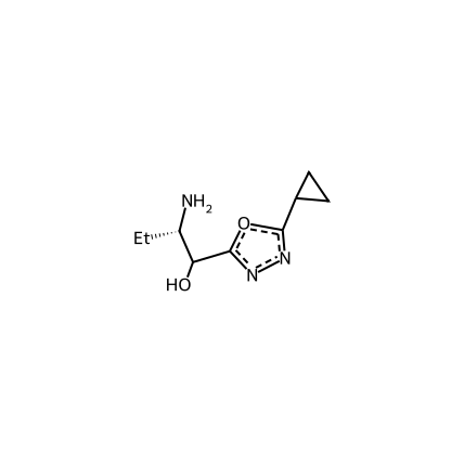 CC[C@H](N)C(O)c1nnc(C2CC2)o1